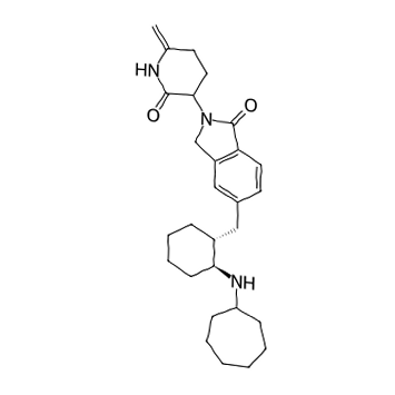 C=C1CCC(N2Cc3cc(C[C@H]4CCCC[C@@H]4NC4CCCCCC4)ccc3C2=O)C(=O)N1